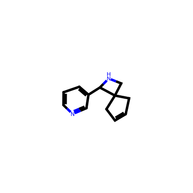 C1=CCC2(C1)CNC2c1cccnc1